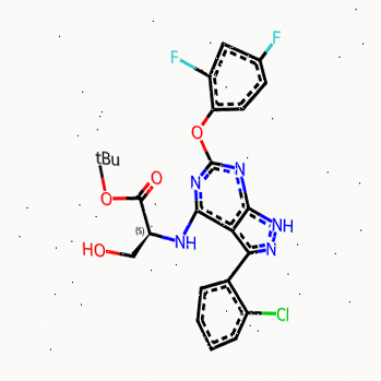 CC(C)(C)OC(=O)[C@H](CO)Nc1nc(Oc2ccc(F)cc2F)nc2[nH]nc(-c3ccccc3Cl)c12